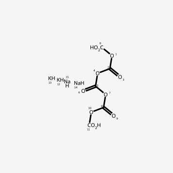 O=C(O)OC(=O)OC(=O)OC(=O)OC(=O)O.[KH].[KH].[NaH].[NaH]